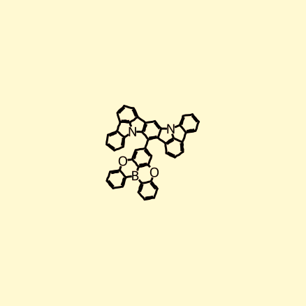 c1ccc2c(c1)Oc1cc(-c3c4c5cccc6c7ccccc7n(c4cc4c7cccc8c9ccccc9n(c34)c87)c65)cc3c1B2c1ccccc1O3